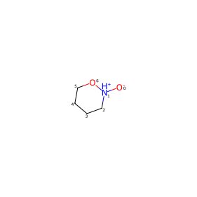 [O-][NH+]1CCCCO1